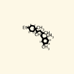 C=C(CC(=C)C1(C)CCC(CC)CC1)Cc1cc(C)ccc1C